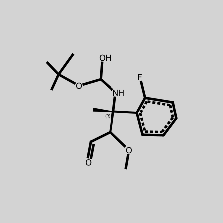 COC(C=O)[C@](C)(NC(O)OC(C)(C)C)c1ccccc1F